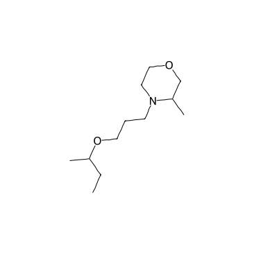 CCC(C)OCCCN1CCOCC1C